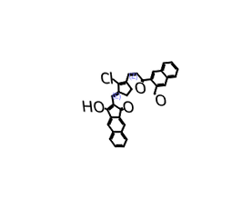 O=Cc1cc2ccccc2cc1C(=O)/C=C\C1=C(Cl)C(=C/C2=C(O)c3cc4ccccc4cc3C2=O)/CC1